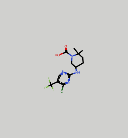 CC1(C)CCC(Nc2ncc(C(F)(F)F)c(Cl)n2)CN1C(=O)O